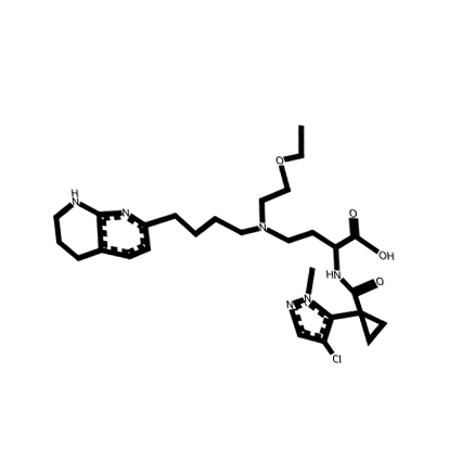 CCOCCN(CCCCc1ccc2c(n1)NCCC2)CCC(NC(=O)C1(c2c(Cl)cnn2C)CC1)C(=O)O